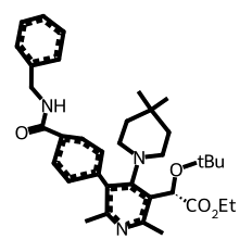 CCOC(=O)[C@@H](OC(C)(C)C)c1c(C)nc(C)c(-c2ccc(C(=O)NCc3ccccc3)cc2)c1N1CCC(C)(C)CC1